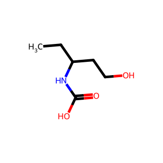 CCC(CCO)NC(=O)O